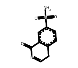 NS(=O)(=O)c1ccc2c(c1)C(=O)N=CC2